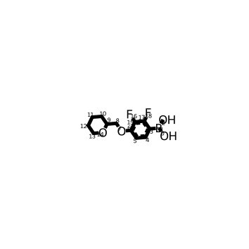 OB(O)c1ccc(OCC2CCCCO2)c(F)c1F